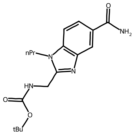 CCCn1c(CNC(=O)OC(C)(C)C)nc2cc(C(N)=O)ccc21